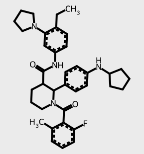 CCc1ccc(NC(=O)C2CCCN(C(=O)c3c(C)cccc3F)C2c2ccc(NC3CCCC3)cc2)cc1N1CCCC1